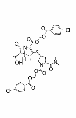 CC(O)[C@H]1C(=O)N2C(C(=O)OCOC(=O)c3ccc(Cl)cc3)=C(S[C@H]3CC(C(=O)N(C)C)N(C(=O)OCOC(=O)c4ccc(Cl)cc4)C3)[C@H](C)[C@H]12